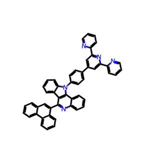 c1ccc(-c2cc(-c3ccc(-n4c5ccccc5c5c(-c6cc7ccccc7c7ccccc67)nc6ccccc6c54)cc3)cc(-c3ccccn3)n2)nc1